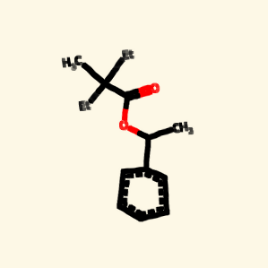 CCC(C)(CC)C(=O)OC(C)c1ccccc1